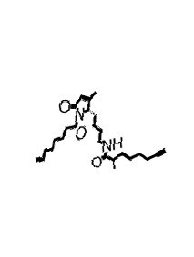 C#CCCCC[C@@H](C)C(=O)NCCCC[C@H]1C(C)=CC(=O)N1C(=O)CCCCCC=C